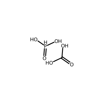 O=C(O)O.O=[PH](O)O